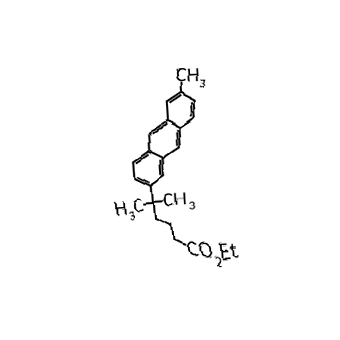 CCOC(=O)CCCC(C)(C)c1ccc2cc3cc(C)ccc3cc2c1